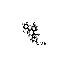 COC(=O)CN1C(=O)C2=C(c3ccc(Cl)cc3C(c3ccccc3Cl)=NC2)C1C